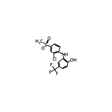 CS(=O)(=O)c1ccc(Nc2cc(C(F)(F)F)ccc2O)c(Cl)c1